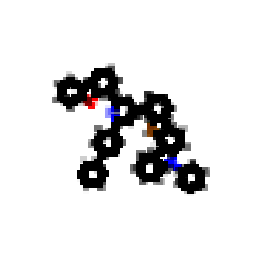 c1ccc(-c2ccc(-c3cc(-c4cccc5c4sc4c5ccc5c4c4ccccc4n5-c4ccccc4)cc(-c4cccc5c4oc4ccccc45)n3)cc2)cc1